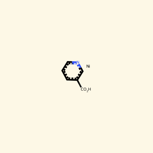 O=C(O)c1cccnc1.[Ni]